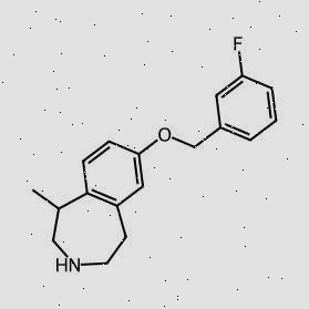 CC1CNCCc2cc(OCc3cccc(F)c3)ccc21